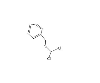 ClC(Cl)SCc1ccccc1